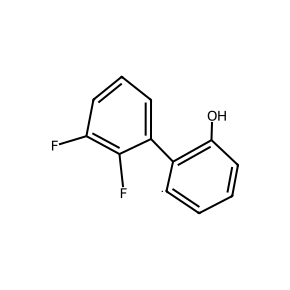 Oc1ccc[c]c1-c1cccc(F)c1F